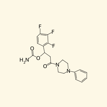 NC(=O)OC(CC(=O)N1CCN(c2ccccc2)CC1)c1ccc(F)c(F)c1F